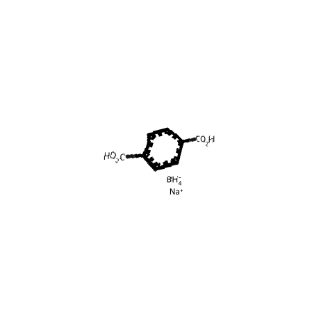 O=C(O)c1ccc(C(=O)O)cc1.[BH4-].[Na+]